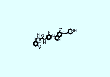 COc1cccc([C@H](C)NC(=O)C(=O)Nc2ccc(Oc3ccnc4cc(OCC5CCNCC5)c(OC)cc34)c(F)c2)c1